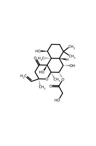 C=C[C@@]1(C)CC(=O)[C@]2(O)[C@@]3(C)[C@@H](O)CCC(C)(C)[C@@H]3[C@H](O)[C@H](OC(=O)CO)[C@@]2(C)O1